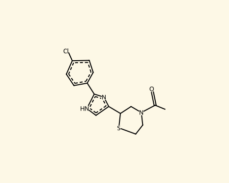 CC(=O)N1CCSC(c2c[nH]c(-c3ccc(Cl)cc3)n2)C1